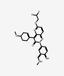 CN/C=C1/C=C(n2nc3ccc(OCC(F)F)nc3c(C3=CCC(OC)CC3)c2=O)C=CC1=N